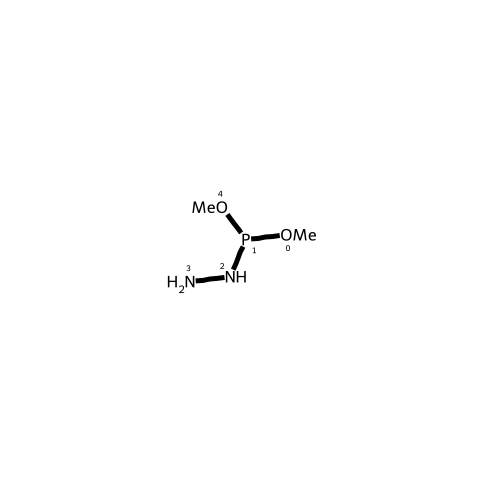 COP(NN)OC